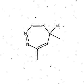 CCC1(C)C=CN=NC(C)=C1